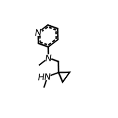 CNC1(CN(C)c2cccnc2)CC1